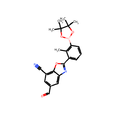 Cc1c(B2OC(C)(C)C(C)(C)O2)cccc1-c1nc2cc(C=O)cc(C#N)c2o1